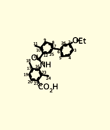 CCOc1cccc(-c2ccc(C)c(C(=O)Nc3c(C)ccc(C(=O)O)c3C)c2)c1